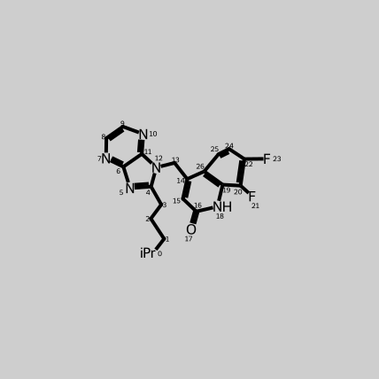 CC(C)CCCc1nc2nccnc2n1Cc1cc(=O)[nH]c2c(F)c(F)ccc12